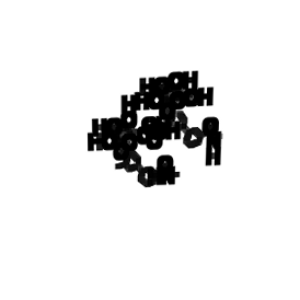 CNC(=O)c1cccc(-c2ccc(O[C@H]3O[C@@H](CO)[C@@H](O)[C@H](O)[C@H]3O)c(C)c2)c1.CNC(=O)c1cccc(-c2ccc(O[C@H]3O[C@@H](COP(=O)(O)O)[C@@H](O)[C@H](O)[C@H]3O)c(C)c2)c1